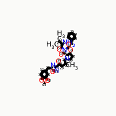 CC(C)[C@H](N)C(=O)N(C(=O)OCc1ccccc1)C(=O)[C@@H]1CCCN1C[C@@H](C)CC(=O)c1noc(Cc2ccc3c(c2)OCO3)n1